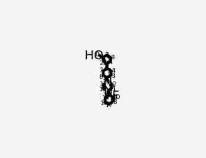 Oc1cccc(C2CCC(N3CCN(c4ccccc4F)CC3)CC2)c1